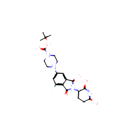 CC(C)(C)OC(=O)N1CCN(c2cc(F)c3c(c2)C(=O)N(C2CCC(=O)NC2=O)C3=O)CC1